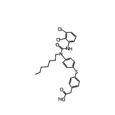 CCCCCCCN(C(=O)Nc1cccc(Cl)c1Cl)c1ccc(Sc2ccc(CC(=O)O)cc2)cc1